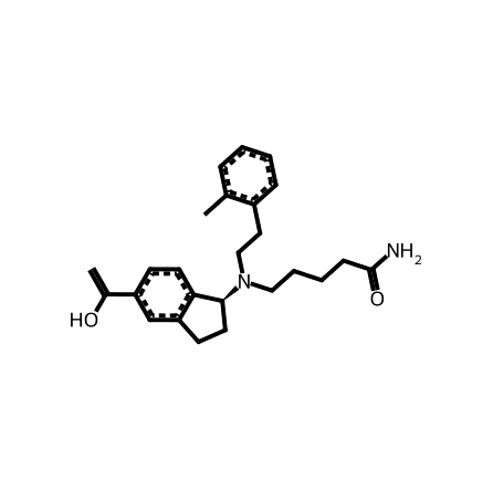 C=C(O)c1ccc2c(c1)CC[C@@H]2N(CCCCC(N)=O)CCc1ccccc1C